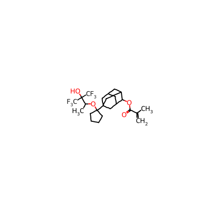 C=C(C)C(=O)OC1C2CC3CC1CC(C1(OC(C)C(O)(C(F)(F)F)C(F)(F)F)CCCC1)(C3)C2